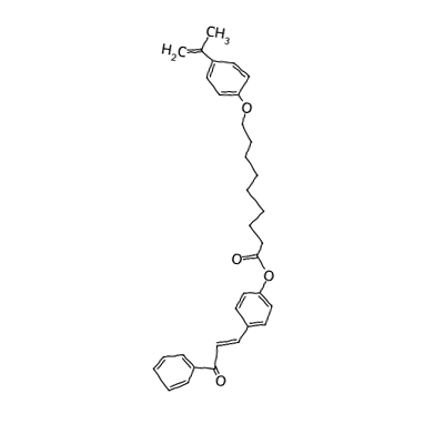 C=C(C)c1ccc(OCCCCCCCCC(=O)Oc2ccc(C=CC(=O)c3ccccc3)cc2)cc1